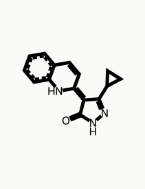 O=C1NN=C(C2CC2)C1=C1C=Cc2ccccc2N1